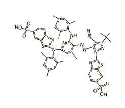 Cc1cc(C)c(Nc2nc(N(c3nc4ccc(S(=O)(=O)O)cc4s3)c3c(C)cc(C)cc3C)cc(C)c2N=Nc2c(C#N)c(C(C)(C)C)nn2-c2nc3ccc(S(=O)(=O)O)cc3s2)c(C)c1